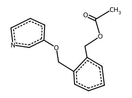 CC(=O)OCc1ccccc1COc1cccnc1